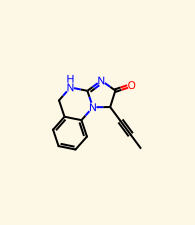 CC#CC1C(=O)N=C2NCc3ccccc3N21